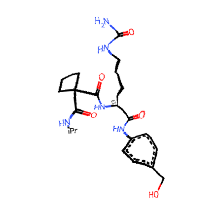 CC(C)NC(=O)C1(C(=O)N[C@@H](CCCNC(N)=O)C(=O)Nc2ccc(CO)cc2)CCC1